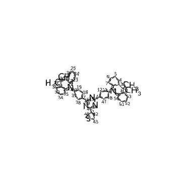 CC1(C)c2ccccc2N(c2ccc(-c3nc(-c4ccc(N5c6ccccc6C(C)(C)c6ccccc65)cc4)nc(-c4ccsc4)n3)cc2)c2ccccc21